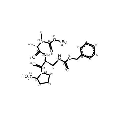 C[C@@H](C(=O)N[C@@H](CNC(=O)OCc1ccccc1)C(=O)N1CCCC1C(=O)O)N(C)C(=O)OC(C)(C)C